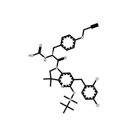 C#CCOc1ccc(C[C@H](NC(=O)O)C(=O)N2CC(C)(C)c3nc(O[Si](C)(C)C(C)(C)C)c(Cc4ccc(Cl)cc4Cl)cc32)cc1